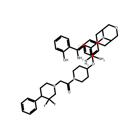 NC(N)=C(/C=C(\N)c1ccccc1O)N1CC2COCC(C1)N2c1cccc(OC2CCN(C(=O)CN3CCC(c4ccccc4)C(F)(F)C3)CC2)c1